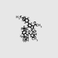 [2H]C([2H])([2H])OC([2H])([2H])c1ccc(C(F)(F)F)nc1NC(=O)[C@@H]1C[C@@]2(C)C[C@H]2N1C(=O)Cn1cc(C(C)=O)c2cc(-c3ccc4nc(C)nn4c3)cc(C)c21